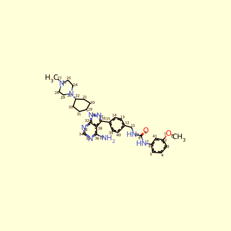 COc1cccc(NC(=O)NCc2ccc(-c3nn([C@H]4CC[C@H](N5CCN(C)CC5)CC4)c4ncnc(N)c34)cc2)c1